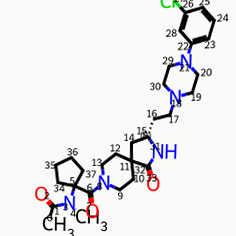 CC(=O)N(C)C1(C(=O)N2CCC3(CC2)C[C@H](CCN2CCN(c4cccc(Cl)c4)CC2)NC3=O)CCCC1